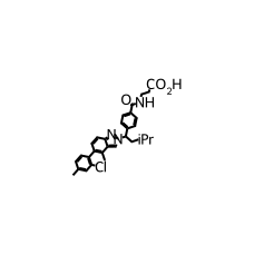 Cc1ccc(-c2ccc3nn(C(CC(C)C)c4ccc(C(=O)NCCC(=O)O)cc4)cc3c2C)c(Cl)c1